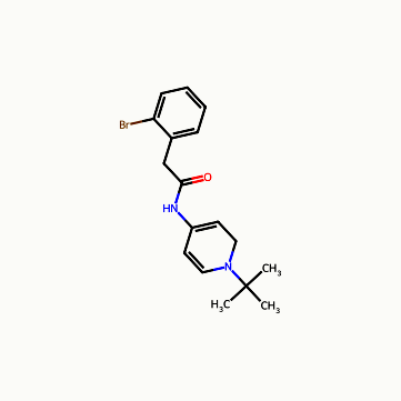 CC(C)(C)N1C=CC(NC(=O)Cc2ccccc2Br)=CC1